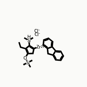 CCC1=C(O[Si](C)(C)C)C[C]([Zr+2][c]2cccc3c2Cc2ccccc2-3)=C1[SiH](C)C.[Cl-].[Cl-]